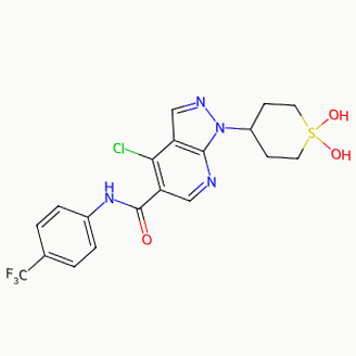 O=C(Nc1ccc(C(F)(F)F)cc1)c1cnc2c(cnn2C2CCS(O)(O)CC2)c1Cl